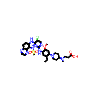 CCc1cc(Nc2ncc(Cl)c(Nc3ccc4nccnc4c3NS(C)(=O)=O)n2)c(OC)cc1N1CCC(N(C)CCC(=O)O)CC1